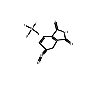 F[B-](F)(F)F.[N-]=[N+]=C1C=CC2=C(C1)C(=O)NC2=O